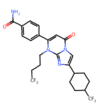 NC(=O)c1ccc(-c2cc(=O)n3cc(C4CCC(C(F)(F)F)CC4)nc3n2CCCC(F)(F)F)cc1